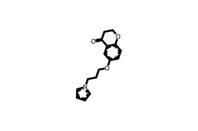 O=C1CCOc2ccc(OCCCn3cccc3)cc21